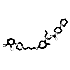 CCCN(COC(=O)N1CCC(N2CCCCC2)CC1)C1=C(C)C=CC(OCCCCN2CCN(c3cccc(Cl)c3Cl)CC2)=CC1